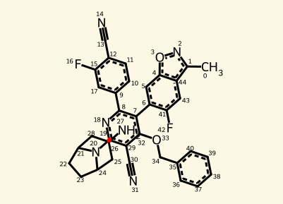 Cc1noc2cc(-c3c(-c4ccc(C#N)c(F)c4)nc(N4C5CCC4CC(N)C5)c(C#N)c3OCc3ccccc3)c(F)cc12